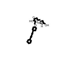 O=c1cc(CN2C=C(CO)NN2)oc(COc2ccc(C#CC#Cc3ccccc3)cc2)c1O